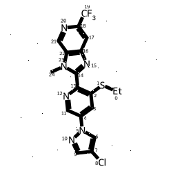 CCSc1cc(-n2cc(Cl)cn2)cnc1-c1nc2cc(C(F)(F)F)ncc2n1C